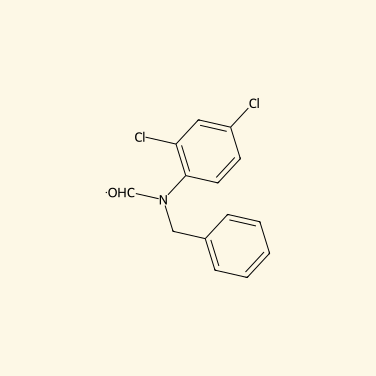 O=[C]N(Cc1ccccc1)c1ccc(Cl)cc1Cl